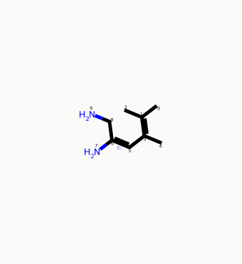 CC(C)=C(C)/C=C(/N)CN